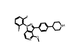 COc1nccc2c1c(-c1ccc(C3CCNCC3)cc1)nn2-c1c(F)cccc1F